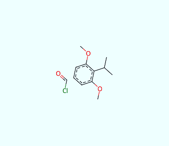 COc1cccc(OC)c1C(C)C.O=CCl